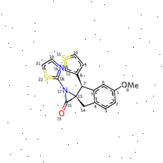 COc1ccc2c(c1)[C@H](c1ccsc1)[C@]1(C2)C(=O)N1c1nccs1